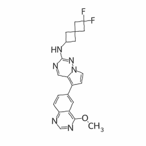 COc1ncnc2ccc(-c3ccn4nc(NC5CC6(C5)CC(F)(F)C6)ncc34)cc12